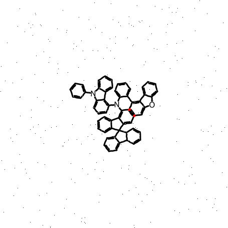 C1=CC2c3ccccc3C3(c4ccccc4-c4c(N(c5ccccc5-c5cccc6oc7ccccc7c56)c5cccc6c5c5ccccc5n6-c5ccccc5)cccc43)C2C=C1